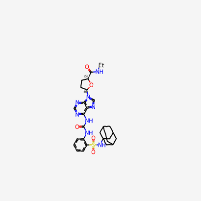 CCNC(=O)[C@@H]1CC[C@H](n2cnc3c(NC(=O)Nc4ccccc4S(=O)(=O)NC45CC6CC(CC(C6)C4)C5)ncnc32)O1